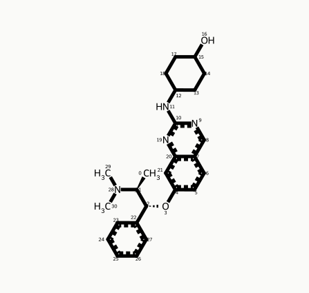 C[C@@H]([C@H](Oc1ccc2cnc(NC3CCC(O)CC3)nc2c1)c1ccccc1)N(C)C